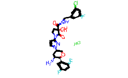 Cl.N[C@H]1C[C@@H](n2ccc(N3CC[C@](O)(C(=O)NCc4cc(F)cc(Cl)c4)C3=O)n2)CO[C@@H]1c1cc(F)ccc1F